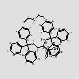 CCNCC.O=C(O)C(CSC(c1ccccc1)(c1ccccc1)c1ccccc1)NC(c1ccccc1)(c1ccccc1)c1ccccc1